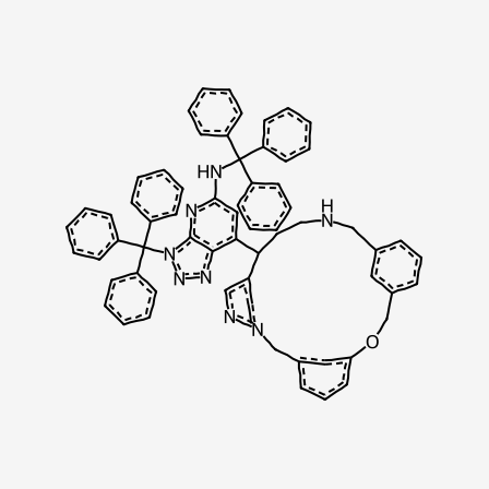 c1ccc(C(Nc2cc(C3CCNCc4cccc(c4)COc4cccc(c4)Cn4cc3cn4)c3nnn(C(c4ccccc4)(c4ccccc4)c4ccccc4)c3n2)(c2ccccc2)c2ccccc2)cc1